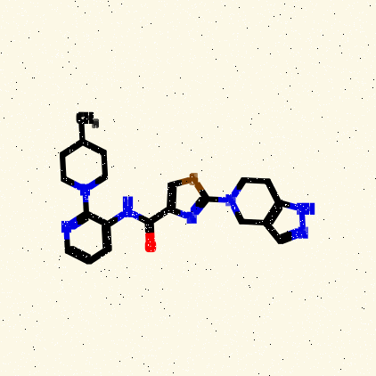 CC1CCN(c2ncccc2NC(=O)c2csc(N3CCc4[nH]ncc4C3)n2)CC1